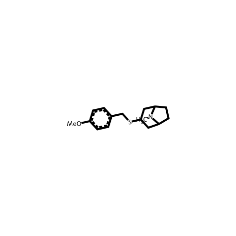 COc1ccc(CSC2CC3CCC(C2)N3C)cc1